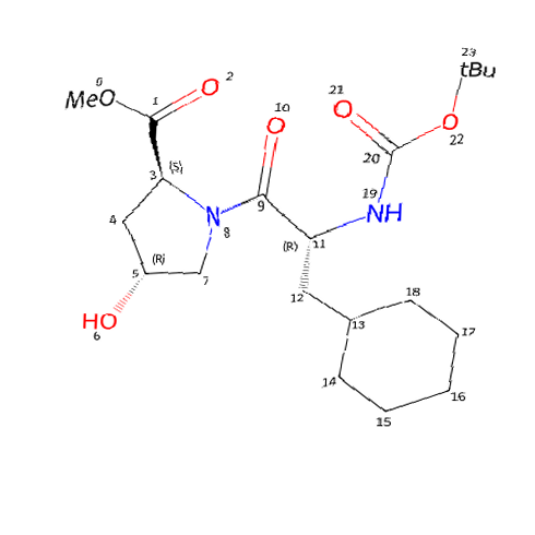 COC(=O)[C@@H]1C[C@@H](O)CN1C(=O)[C@@H](CC1CCCCC1)NC(=O)OC(C)(C)C